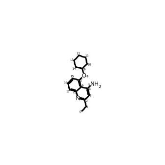 CCc1cc(N)c2c(OC3CCCCC3)cccc2n1